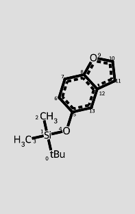 CC(C)(C)[Si](C)(C)Oc1ccc2occc2c1